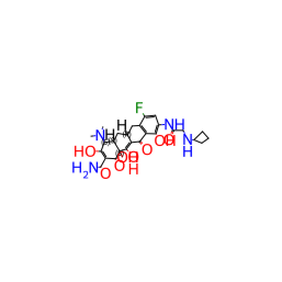 CN(C)[C@@H]1C(O)=C(C(N)=O)C(=O)[C@@]2(O)C(O)=C3C(=O)c4c(O)c(NC(=O)CNC5CCC5)cc(F)c4C[C@H]3C[C@@H]12